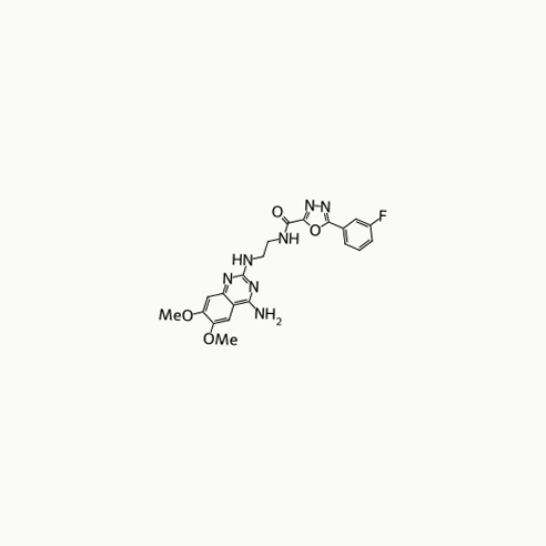 COc1cc2nc(NCCNC(=O)c3nnc(-c4cccc(F)c4)o3)nc(N)c2cc1OC